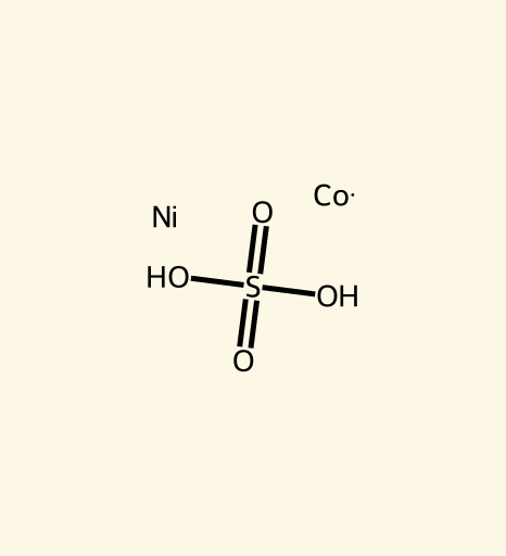 O=S(=O)(O)O.[Co].[Ni]